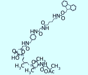 CC(=O)OC(C)C=CC(=O)N[C@@H]1C[C@H](C)[C@H](CC=C(C)C=C[C@H]2O[C@H](CC(=O)NCc3ccc(NC(=O)CNC(=O)CCCCCNC(=O)OCC4c5ccccc5-c5ccccc54)cc3)C[C@@]3(CO3)[C@@H]2O)O[C@@H]1C